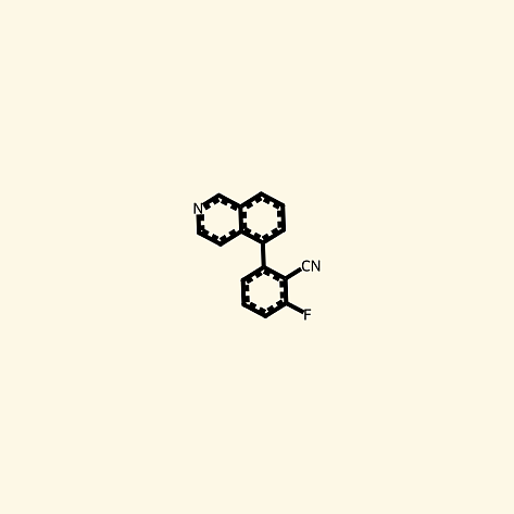 N#Cc1c(F)cccc1-c1cccc2cnccc12